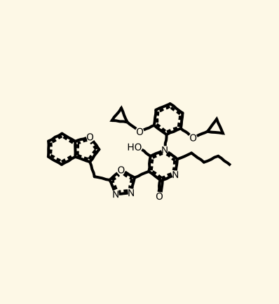 CCCCc1nc(=O)c(-c2nnc(Cc3coc4ccccc34)o2)c(O)n1-c1c(OC2CC2)cccc1OC1CC1